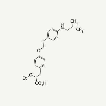 CCO[C@@H](Cc1ccc(OCCc2ccc(NC[C@H](C)C(F)(F)F)cc2)cc1)C(=O)O